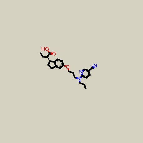 CCCN(CCCOc1ccc2c(c1)CC[C@H]2C(CC)C(=O)O)c1ccc(C#N)cn1